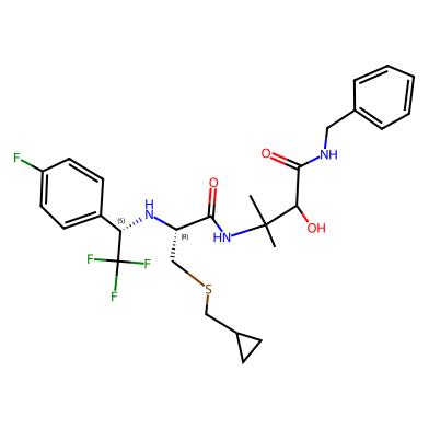 CC(C)(NC(=O)[C@H](CSCC1CC1)N[C@@H](c1ccc(F)cc1)C(F)(F)F)C(O)C(=O)NCc1ccccc1